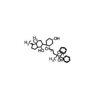 C=C1CCC2[C@H](O)C([C@@]3(C)CC[C@H](O)C[C@@H]3CCCC(C)(C)[Si](O)(c3ccccc3)c3ccccc3)CC[C@]12C